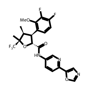 COc1c([C@H]2[C@H](C(=O)Nc3ccc(-c4cnco4)nc3)O[C@@](C)(C(F)(F)F)[C@H]2C)ccc(F)c1F